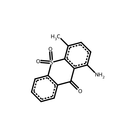 Cc1ccc(N)c2c1S(=O)(=O)c1ccccc1C2=O